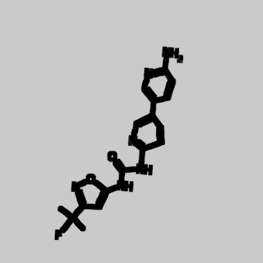 CC(C)(F)c1cc(NC(=O)Nc2ccc(-c3ccc(N)nc3)cn2)on1